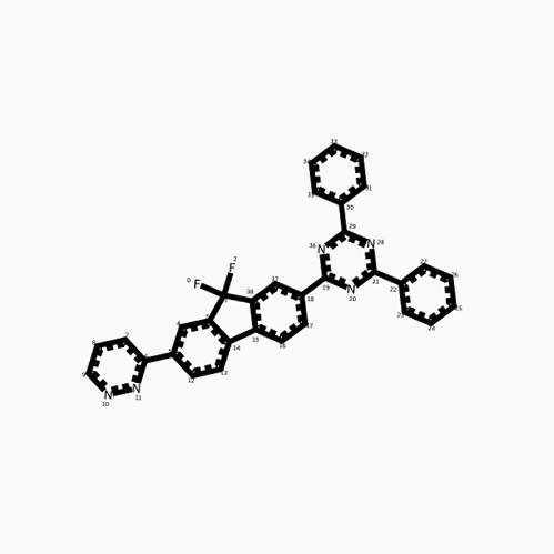 FC1(F)c2cc(-c3cccnn3)ccc2-c2ccc(-c3nc(-c4ccccc4)nc(-c4ccccc4)n3)cc21